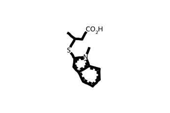 CC(CC(=O)O)Sc1cc2ccccc2n1C